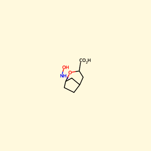 NO.O=C(O)C1CC2CCC(C2)O1